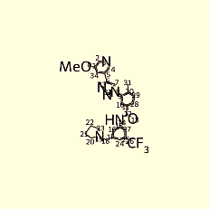 COc1cncc(-c2cn(-c3cc(C(=O)Nc4cc(CN5CCCC5)cc(C(F)(F)F)c4)ccc3C)nn2)c1